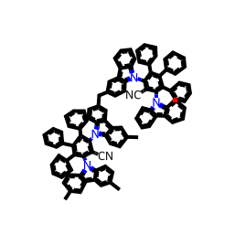 Cc1ccc2c(c1)c1cc(C)ccc1n2-c1c(C#N)c(-n2c3ccc(C)cc3c3cc(Cc4ccc5c(c4)c4ccccc4n5-c4c(C#N)c(-n5c6ccccc6c6ccccc65)c(-c5ccccc5)c(-c5ccccc5)c4-c4ccccc4)ccc32)c(-c2ccccc2)c(-c2ccccc2)c1-c1ccccc1